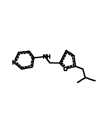 CC(C)Cc1ccc(CNc2ccncc2)o1